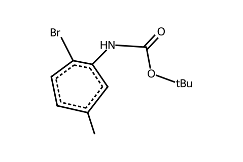 Cc1ccc(Br)c(NC(=O)OC(C)(C)C)c1